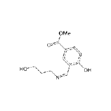 COC(=O)c1ccc(O)c(/C=N\CCCO)c1